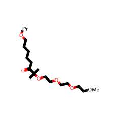 COCCOCCOCCOC(C)(C)C(=O)CCCCCOC(C)C